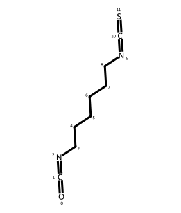 O=C=NCCCCCCN=C=S